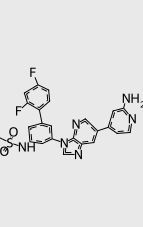 CS(=O)(=O)Nc1cc(-c2ccc(F)cc2F)cc(-n2cnc3cc(-c4ccnc(N)c4)cnc32)c1